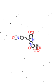 CC[C@@]1(O)C(=O)OCc2c1cc1n(c2=O)Cc2c-1nc1cc3c(cc1c2C=Cc1ccc(N2CCOCC2)cc1)OCO3